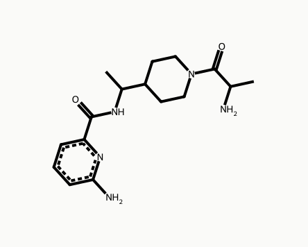 CC(N)C(=O)N1CCC(C(C)NC(=O)c2cccc(N)n2)CC1